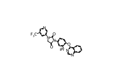 CC(C)c1cc(N2C(=O)CN(c3cncc(C(F)(F)F)c3)C2=O)ccc1Oc1ncnc2ccccc12